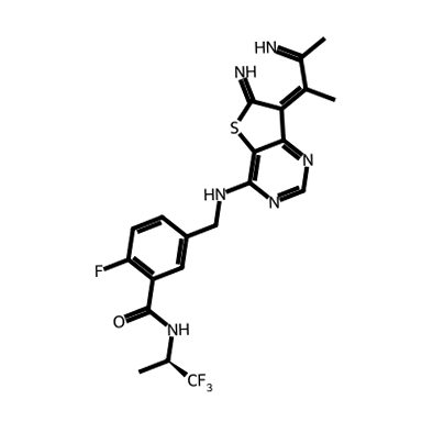 CC(=N)/C(C)=C1\C(=N)Sc2c(NCc3ccc(F)c(C(=O)N[C@H](C)C(F)(F)F)c3)ncnc21